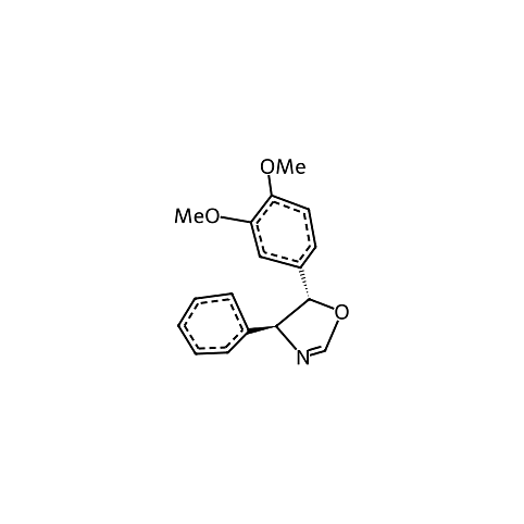 COc1ccc([C@@H]2OC=N[C@H]2c2ccccc2)cc1OC